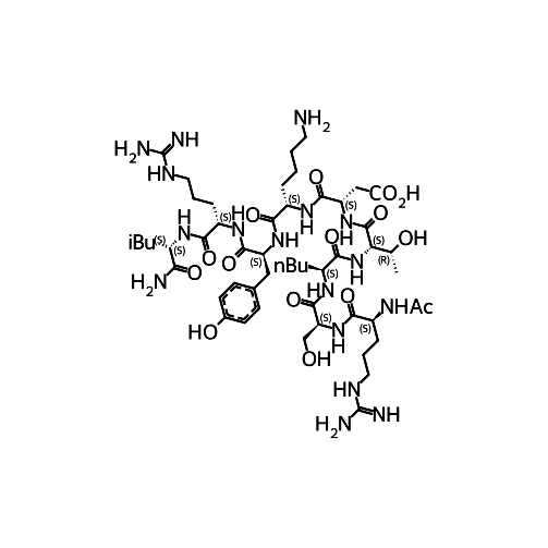 CCCC[C@H](NC(=O)[C@H](CO)NC(=O)[C@H](CCCNC(=N)N)NC(C)=O)C(=O)N[C@H](C(=O)N[C@@H](CC(=O)O)C(=O)N[C@@H](CCCCN)C(=O)N[C@@H](Cc1ccc(O)cc1)C(=O)N[C@@H](CCCNC(=N)N)C(=O)N[C@H](C(N)=O)[C@@H](C)CC)[C@@H](C)O